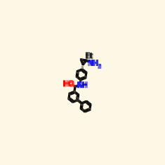 CC[C@@]1(N)C[C@H]1c1ccc(NC(O)c2cccc(-c3ccccc3)c2)cc1